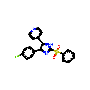 O=S(=O)(c1ccccc1)c1nc(-c2ccc(F)cc2)c(-c2ccncc2)[nH]1